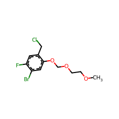 COCCOCOc1cc(Br)c(F)cc1CCl